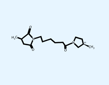 CC1CC(=O)N(CCCCCC(=O)N2CC[C@@H](C)C2)C1=O